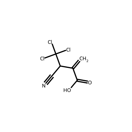 C=C(C(=O)O)C(C#N)C(Cl)(Cl)Cl